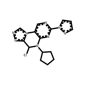 CCC1c2nncn2-c2cnc(-n3cccn3)nc2N1C1CCCC1